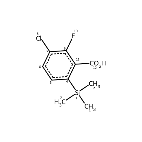 C[Si](C)(C)c1ccc(Cl)c(F)c1C(=O)O